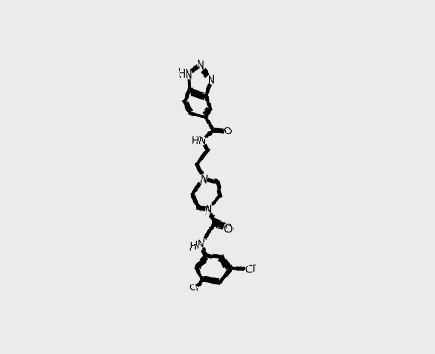 O=C(NCCN1CCN(C(=O)Nc2cc(Cl)cc(Cl)c2)CC1)c1ccc2[nH]nnc2c1